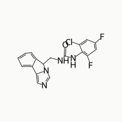 O=C(NCC1c2ccccc2-c2cncn21)Nc1c(F)cc(F)cc1Cl